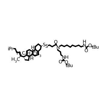 CC(C)CCC[C@@H](C)[C@H]1CC[C@H]2[C@@H]3CC=C4C[C@@H](SSCCC(=O)N(CCCCCCCCNC(=O)OC(C)(C)C)CCCNC(=O)OC(C)(C)C)CC[C@]4(C)[C@H]3CC[C@]12C